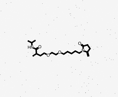 C=C1CCC(=O)N1CCCCCOCCOCCC(C)C(=O)NC(C)C